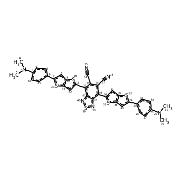 CN(C)c1ccc(-c2cc3sc(-c4c(C#N)c(C#N)c(-c5cc6sc(-c7ccc(N(C)C)cc7)cc6s5)c5nsnc45)cc3s2)cc1